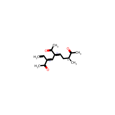 C=C/C(=C\C(=C/C[C@H](C)C(C)=O)C(C)=O)C(C)=O